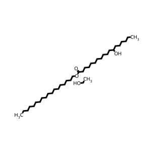 CCCCCCCCCCCCCCCCCCOC(=O)CCCCCCCCCCC(O)CCCCCC.CCO